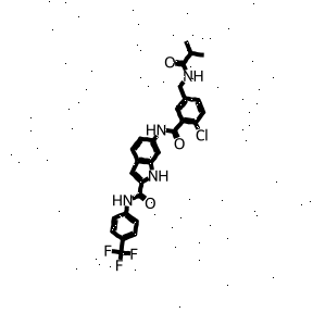 CC(C)C(=O)NCc1ccc(Cl)c(C(=O)Nc2ccc3cc(C(=O)Nc4ccc(C(F)(F)F)cc4)[nH]c3c2)c1